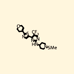 CSN1CCC(Nc2ncc(C(F)(F)F)c(-c3cnc(C4=CCOCC4)s3)n2)CC1